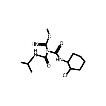 COC(=N)N(C(=O)NC(C)C)C(=O)NC1CCCCC1Cl